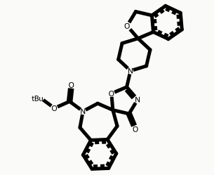 CC(C)(C)OC(=O)N1Cc2ccccc2CC2(C1)OC(N1CCC3(CC1)OCc1ccccc13)=NC2=O